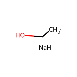 [CH2]CO.[NaH]